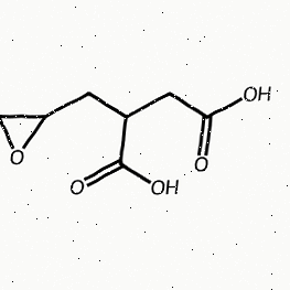 O=C(O)CC(CC1CO1)C(=O)O